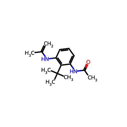 C=C(C)Nc1cccc(NC(C)=O)c1C(C)(C)C